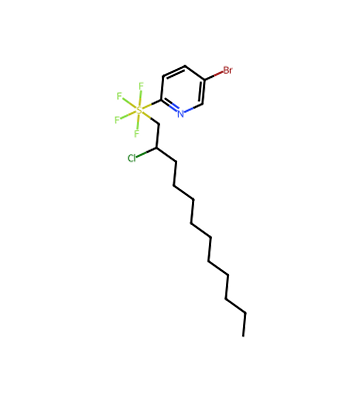 CCCCCCCCCCC(Cl)CS(F)(F)(F)(F)c1ccc(Br)cn1